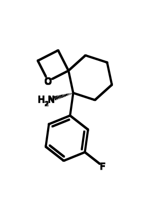 N[C@@]1(c2cccc(F)c2)CCCCC12CCO2